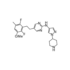 COc1cc(C)c(F)c(CCc2cnc(Nc3cnn(C4CCNCC4)c3)nc2)c1F